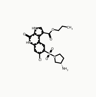 CCCOC(=O)c1c[nH]c2c(=O)[nH]c3cc(Cl)c(S(=O)(=O)N4CC[C@H](N)C4)cc3c12